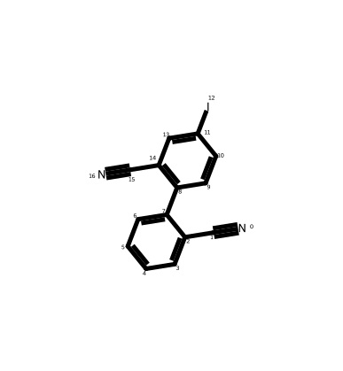 N#Cc1ccccc1-c1ccc(I)cc1C#N